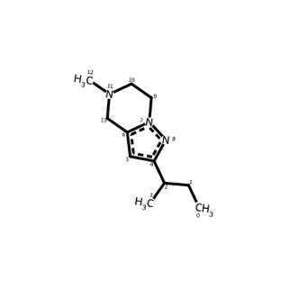 CCC(C)c1cc2n(n1)CCN(C)C2